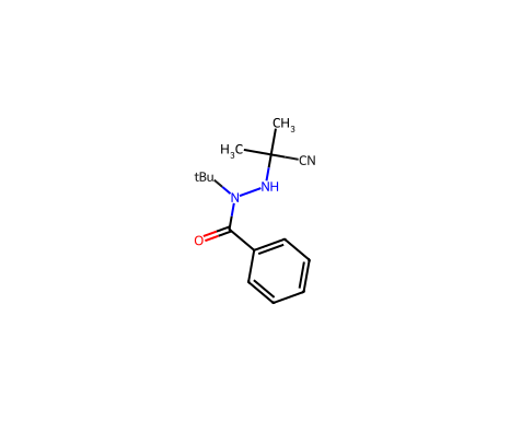 CC(C)(C#N)NN(C(=O)c1ccccc1)C(C)(C)C